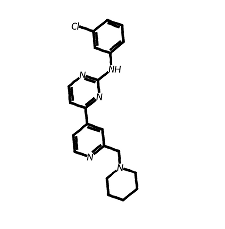 Clc1cccc(Nc2nccc(-c3ccnc(CN4CCCCC4)c3)n2)c1